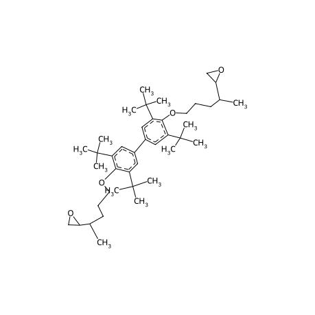 CC(CCCOc1c(C(C)(C)C)cc(-c2cc(C(C)(C)C)c(OCCCC(C)C3CO3)c(C(C)(C)C)c2)cc1C(C)(C)C)C1CO1